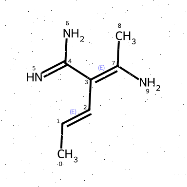 C/C=C/C(C(=N)N)=C(/C)N